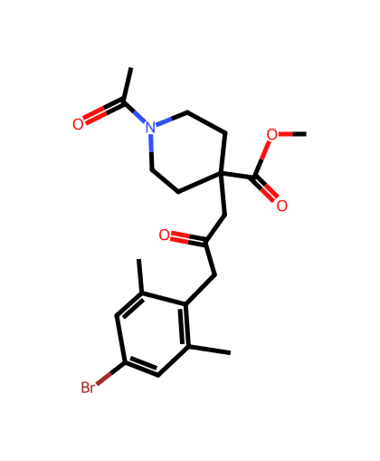 COC(=O)C1(CC(=O)Cc2c(C)cc(Br)cc2C)CCN(C(C)=O)CC1